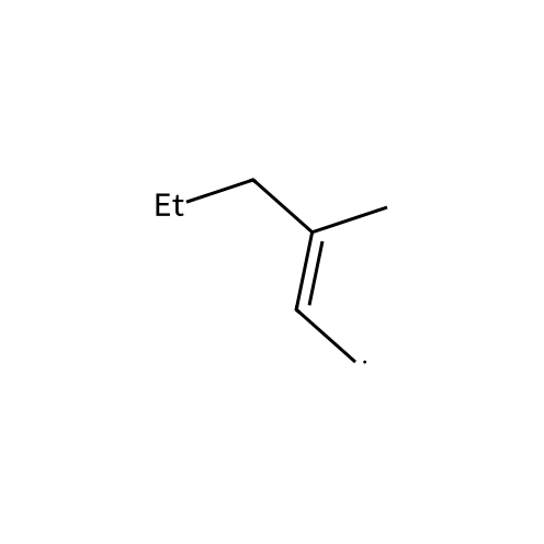 [CH2]C=C(C)CCC